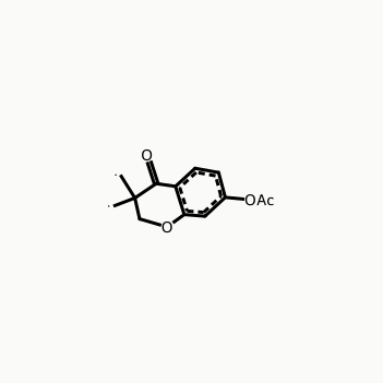 [CH2]C1([CH2])COc2cc(OC(C)=O)ccc2C1=O